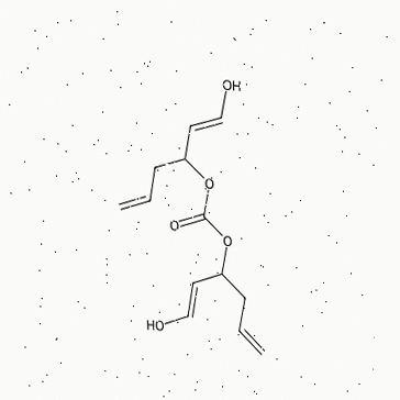 C=CCC(/C=C/O)OC(=O)OC(/C=C/O)CC=C